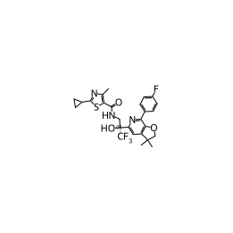 Cc1nc(C2CC2)sc1C(=O)NC[C@](O)(c1cc2c(c(-c3ccc(F)cc3)n1)OCC2(C)C)C(F)(F)F